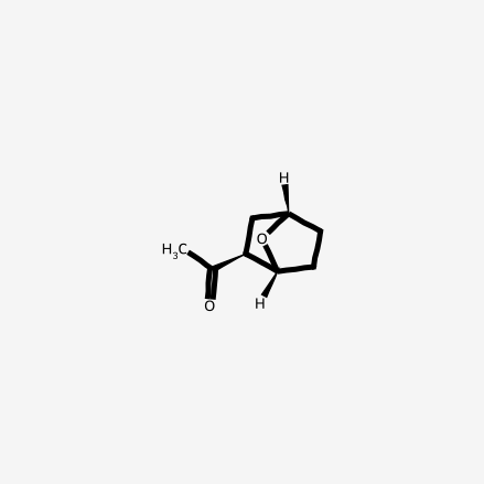 CC(=O)[C@H]1C[C@@H]2CC[C@H]1O2